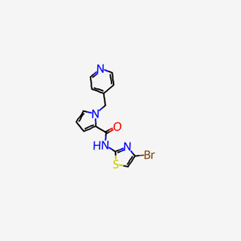 O=C(Nc1nc(Br)cs1)c1cccn1Cc1ccncc1